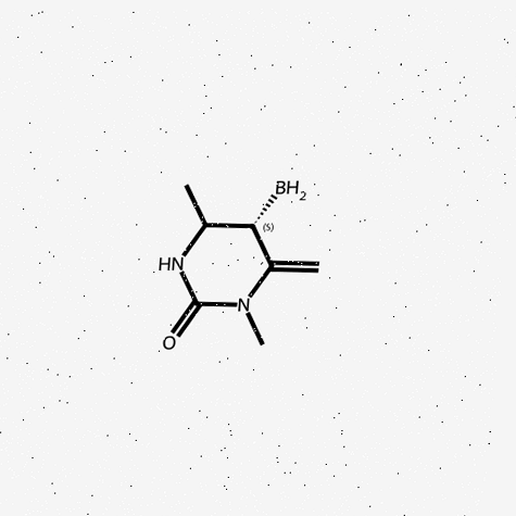 B[C@@H]1C(=C)N(C)C(=O)NC1C